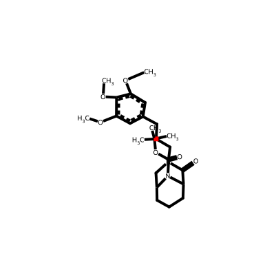 COc1cc(CCCN2CC3CCCC(C2=O)N3C(=O)OC(C)(C)C)cc(OC)c1OC